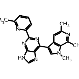 Cc1cccc(-c2nc(-c3cn(C)c4c(C)nc(C)cc34)c3nc[nH]c3n2)n1